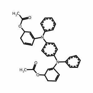 CC(=O)OC1C=C(N(c2ccccc2)c2ccc(N(C3=CC(OC(C)=O)CC=C3)c3ccccc3)cc2)C=CC1